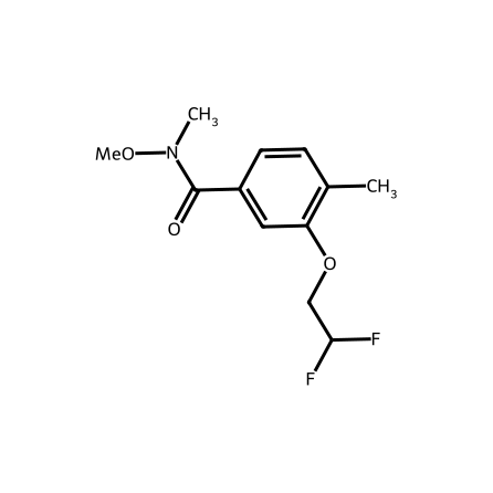 CON(C)C(=O)c1ccc(C)c(OCC(F)F)c1